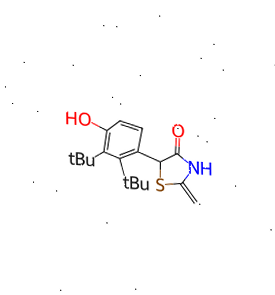 C=C1NC(=O)C(c2ccc(O)c(C(C)(C)C)c2C(C)(C)C)S1